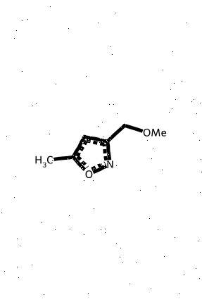 [CH2]OCc1cc(C)on1